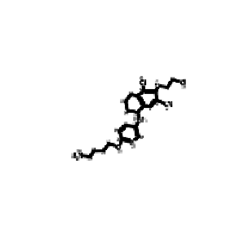 N#Cc1cc2c(c(Cl)c1OCCCl)CCCC2Nc1ccc(OCCCCN)nc1